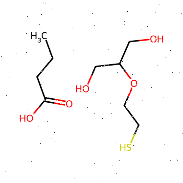 CCCC(=O)O.OCC(CO)OCCS